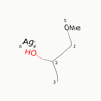 COCC(C)O.[Ag]